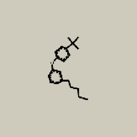 CCCCCc1cccc(Oc2ccc(C(C)(C)C)cc2)c1